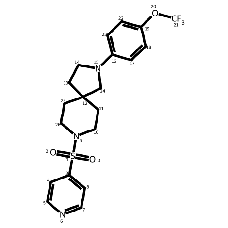 O=S(=O)(c1ccncc1)N1CCC2(CCN(c3ccc(OC(F)(F)F)cc3)C2)CC1